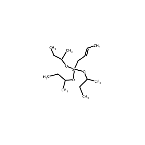 C/C=C/C[Si](OC(C)CC)(OC(C)CC)OC(C)CC